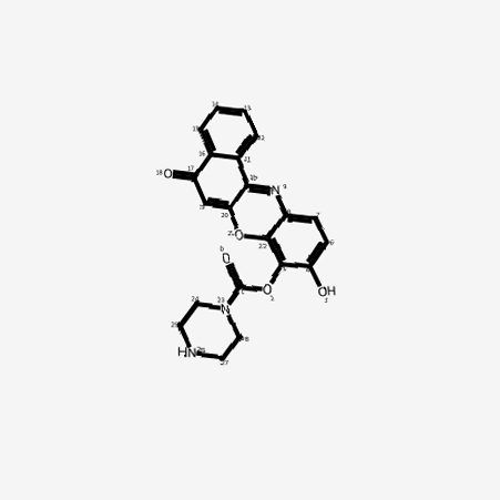 O=C(Oc1c(O)ccc2nc3c4ccccc4c(=O)cc-3oc12)N1CCNCC1